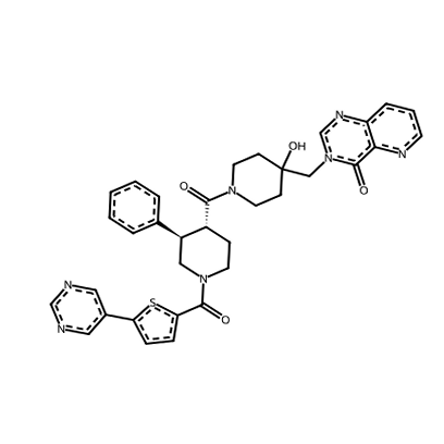 O=C(c1ccc(-c2cncnc2)s1)N1CC[C@@H](C(=O)N2CCC(O)(Cn3cnc4cccnc4c3=O)CC2)[C@H](c2ccccc2)C1